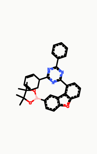 CC1(C)OB(c2ccc3oc4cccc(-c5nc(-c6ccccc6)nc(C6C=CC=CC6)n5)c4c3c2)OC1(C)C